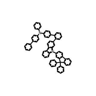 c1ccc(-c2ccc(N(c3ccccc3)c3ccc(-c4ccccc4-c4ccc5c6ccccc6n(-c6ccc7c(c6)C(c6ccccc6)(c6ccccc6)c6ccccc6-7)c5c4)cc3)cc2)cc1